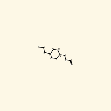 C=CCCC1CCC(CCC)CC1